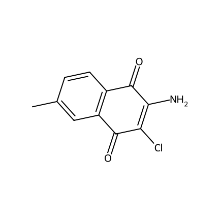 Cc1ccc2c(c1)C(=O)C(Cl)=C(N)C2=O